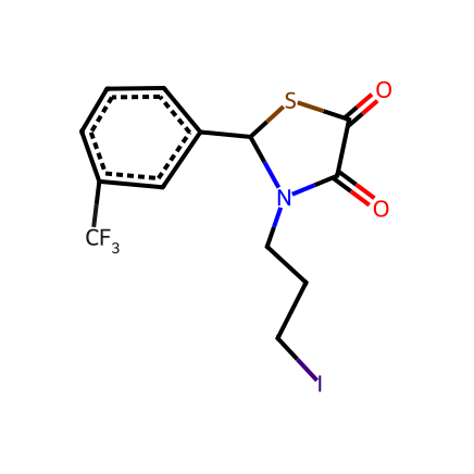 O=C1SC(c2cccc(C(F)(F)F)c2)N(CCCI)C1=O